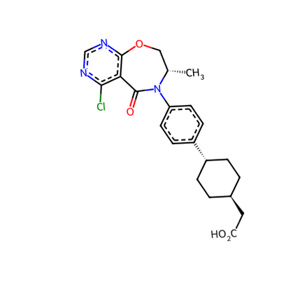 C[C@H]1COc2ncnc(Cl)c2C(=O)N1c1ccc([C@H]2CC[C@H](CC(=O)O)CC2)cc1